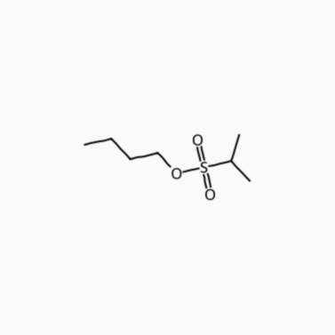 CCCCOS(=O)(=O)C(C)C